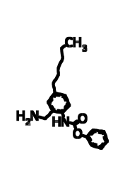 CCCCCCc1ccc(NC(=O)Oc2ccccc2)c(CN)c1